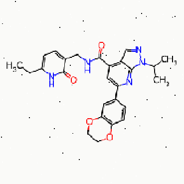 CCc1ccc(CNC(=O)c2cc(-c3ccc4c(c3)OCCO4)nc3c2cnn3C(C)C)c(=O)[nH]1